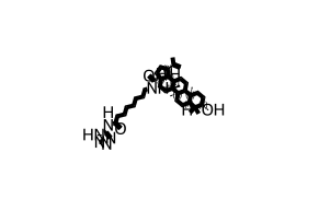 C=C(C)[C@@H]1CC[C@]2(C(=O)NCCCCCCCC(=O)Nc3nnn[nH]3)CC[C@]3(C)[C@H](CCC4[C@@]5(C)CC[C@H](O)C(C)(C)[C@@H]5CC[C@]43C)[C@@H]12